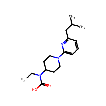 CCN(C(=O)O)C1CCN(c2cccc(CC(C)C)n2)CC1